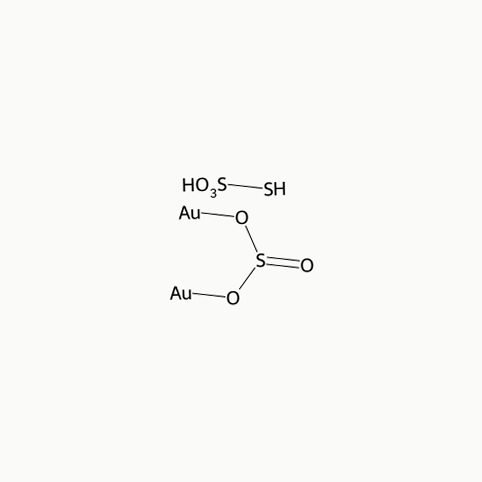 O=S(=O)(O)S.O=S([O][Au])[O][Au]